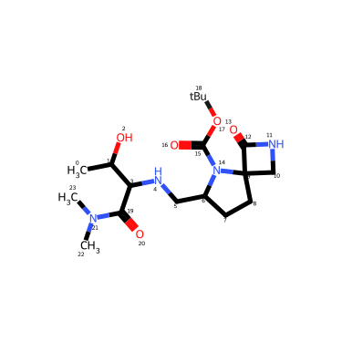 CC(O)C(NCC1CCC2(CNC2=O)N1C(=O)OC(C)(C)C)C(=O)N(C)C